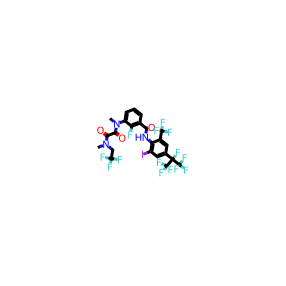 CN(CC(F)(F)F)C(=O)C(=O)N(C)c1cccc(C(=O)Nc2c(I)cc(C(F)(C(F)(F)F)C(F)(F)F)cc2C(F)(F)F)c1F